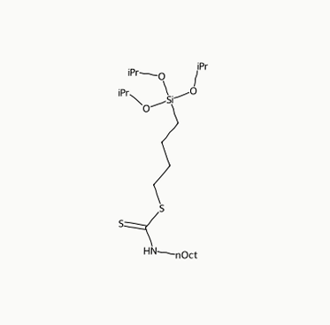 CCCCCCCCNC(=S)SCCCC[Si](OC(C)C)(OC(C)C)OC(C)C